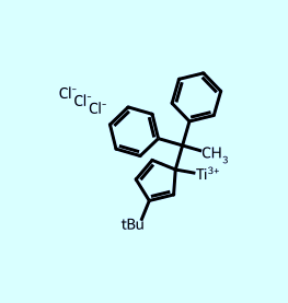 CC(C)(C)C1=C[C]([Ti+3])(C(C)(c2ccccc2)c2ccccc2)C=C1.[Cl-].[Cl-].[Cl-]